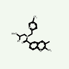 COC(CN(Cc1ccc(C(F)(F)F)cn1)C(=O)c1ccc2nc(N)c(C)cc2c1)C(C)C